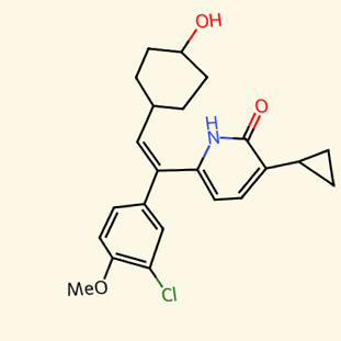 COc1ccc(/C(=C/C2CCC(O)CC2)c2ccc(C3CC3)c(=O)[nH]2)cc1Cl